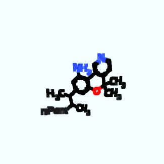 CCCCCC(C)C(C)c1cc(N)c2c(c1)OC(C)(C)c1ccncc1-2